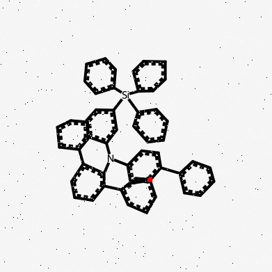 c1ccc(-c2ccc(N(c3cccc([Si](c4ccccc4)(c4ccccc4)c4ccccc4)c3)c3c(-c4ccccc4)cccc3-c3ccccc3)cc2)cc1